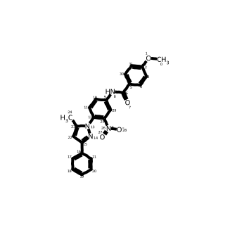 COc1ccc(C(=O)Nc2ccc(-n3nc(-c4ccccc4)cc3C)c([N+](=O)[O-])c2)cc1